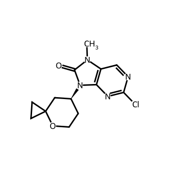 Cn1c(=O)n([C@H]2CCOC3(CC3)C2)c2nc(Cl)ncc21